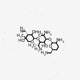 CC(N)C(O[C@H]1O[C@H](CN)CCC1N)C(O)C(O[C@H]1OCC(C)(O)[C@H](CN)C1O)[C@@H](C)N